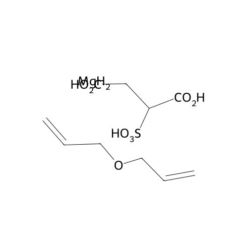 C=CCOCC=C.O=C(O)CC(C(=O)O)S(=O)(=O)O.[MgH2]